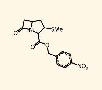 CSC1CC2CC(=O)N2C1C(=O)OCc1ccc([N+](=O)[O-])cc1